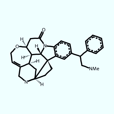 CNCC(c1ccccc1)c1ccc2c(c1)[C@@]13CCN4CC5=CCO[C@H]6CC(=O)N2[C@H]1[C@H]6[C@H]5C[C@H]43